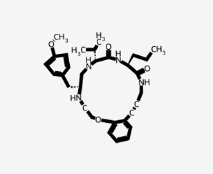 CCC[C@@H]1NC(=O)[C@@H](C(C)C)NC[C@@H](Cc2ccc(OC)cc2)NCCOc2ccccc2CCCNC1=O